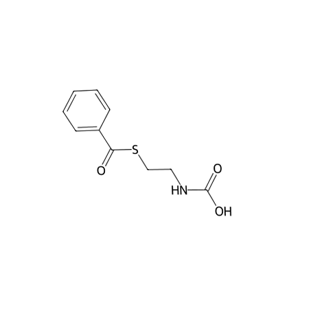 O=C(O)NCCSC(=O)c1ccccc1